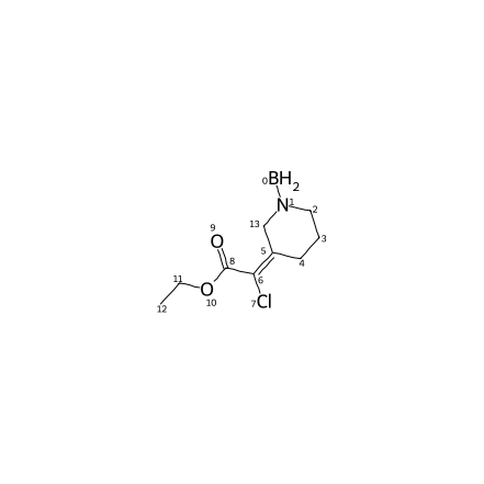 BN1CCCC(=C(Cl)C(=O)OCC)C1